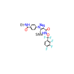 CCNC(=O)c1ccc(-n2nnc(C(=O)NOC(F)(F)c3ccc(F)c(F)c3F)c2CSC)cc1